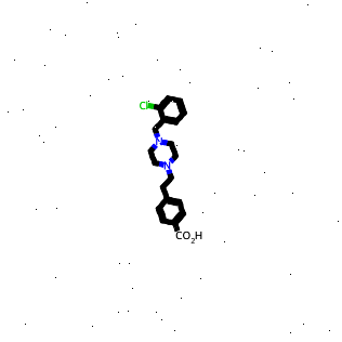 O=C(O)c1ccc(CCN2CCN(Cc3ccccc3Cl)CC2)cc1